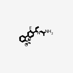 C=C/C(=N\C=C(/C)N)c1ccc(-c2ccccc2S(C)(=O)=O)cc1F